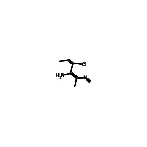 C=N/C(C)=C(N)\C(Cl)=C/C